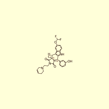 C[C@@]12Cc3c([nH]c4ccc(OC(F)F)cc34)[C@@H](c3cccc(O)c3)N1C(=O)N(CCN1CC=CCC1)C2=O